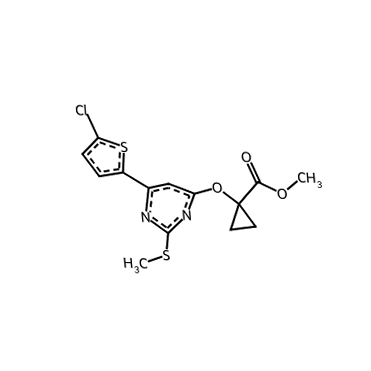 COC(=O)C1(Oc2cc(-c3ccc(Cl)s3)nc(SC)n2)CC1